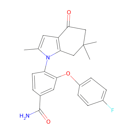 Cc1cc2c(n1-c1ccc(C(N)=O)cc1Oc1ccc(F)cc1)CC(C)(C)CC2=O